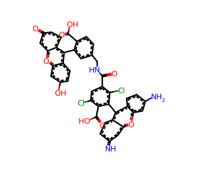 N=c1ccc2c(-c3c(Cl)c(C(=O)NCc4ccc(C(=O)O)c(-c5c6ccc(=O)cc-6oc6cc(O)ccc56)c4)cc(Cl)c3C(=O)O)c3ccc(N)cc3oc-2c1